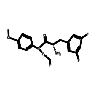 COc1ccc(N(CCF)C(=O)[C@@H](N)Cc2cc(F)cc(F)c2)cc1